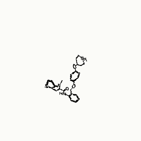 Cn1c(C(=O)Nc2ccccc2COc2ccc(OC3CCNCC3)cc2)cc2sccc21